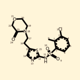 Cc1c(Cl)cccc1S(=O)(=O)Nc1ncc(CCN2CCOCC2=O)s1